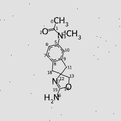 CC(=O)N(C)c1ccc2c(c1)CC1(COC(N)=N1)C2